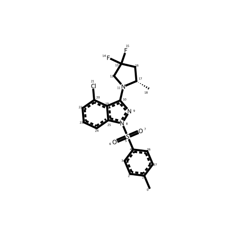 Cc1ccc(S(=O)(=O)n2nc(N3CC(F)(F)C[C@@H]3C)c3c(Cl)cccc32)cc1